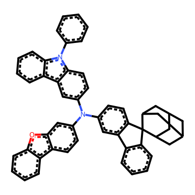 c1ccc(-n2c3ccccc3c3cc(N(c4ccc5c(c4)-c4ccccc4C54C5CC6CC(C5)CC4C6)c4ccc5c(c4)oc4ccccc45)ccc32)cc1